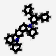 C1=C2C(Cc3ccc4c(c31)c1ccccc1n4-c1cc(-c3ccccc3)cc(-c3ccccc3)c1)c1cccc3c4ccccc4n2c13